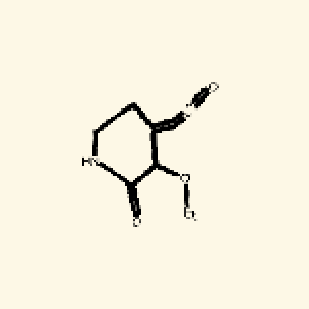 CCOC1C(=O)NCCC1=C=O